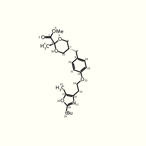 COC(=O)[C@]1(C)OC[C@H](Cc2ccc(OCCc3nc(C(C)(C)C)oc3C)cc2)CO1